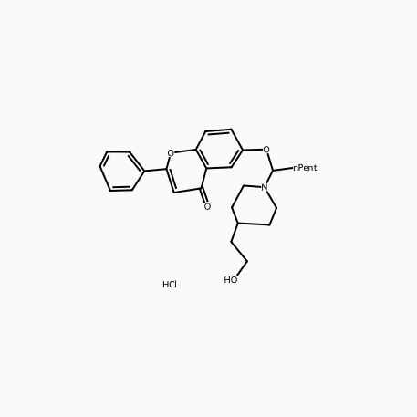 CCCCCC(Oc1ccc2oc(-c3ccccc3)cc(=O)c2c1)N1CCC(CCO)CC1.Cl